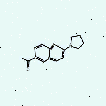 CC(=O)c1ccc2nc(N3CCCC3)ccc2c1